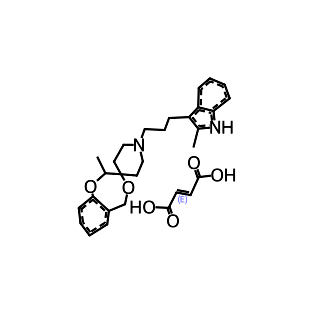 Cc1[nH]c2ccccc2c1CCCN1CCC2(CC1)OCc1ccccc1OC2C.O=C(O)/C=C/C(=O)O